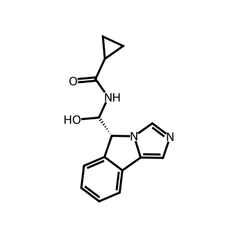 O=C(NC(O)[C@H]1c2ccccc2-c2cncn21)C1CC1